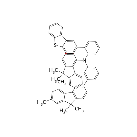 Cc1cc(C)c2c(c1)C(C)(C)c1ccc(-c3cccc(N(c4ccccc4-c4ccc5sc6ccccc6c5c4)c4cccc5c4-c4ccccc4C5(C)C)c3)cc1-2